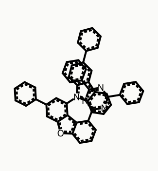 c1ccc(-c2cc(-n3c4ccccc4c4cc(-c5ccccc5)ccc43)c3c(c2)oc2cccc(-c4nc(-c5ccccc5)nc(-c5ccccc5)n4)c23)cc1